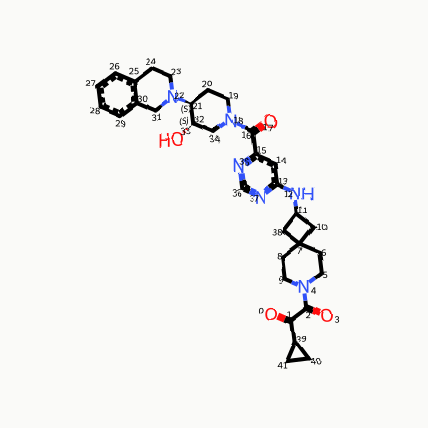 O=C(C(=O)N1CCC2(CC1)CC(Nc1cc(C(=O)N3CC[C@H](N4CCc5ccccc5C4)[C@@H](O)C3)ncn1)C2)C1CC1